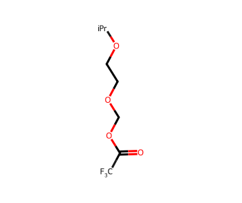 CC(C)OCCOCOC(=O)C(F)(F)F